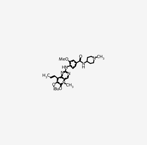 CC=Cc1c(OC(C)CC)c(=O)n(C)c2cnc(Nc3ccc(C(=O)NC4CCN(C)CC4)cc3OC)nc12